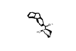 Cn1cncc1C(O)c1ccc2c(c1)Cc1ccccc1-2